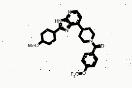 COC1CCC(c2nc3c(C4CCN(C(=O)c5ccc(OC(F)(F)F)cc5)CC4)ccnc3[nH]2)CC1